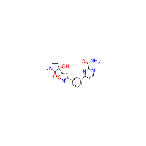 CN1CCC(O)(c2cc(-c3cccc(-c4ccnc(C(N)=O)n4)c3)no2)C1=O